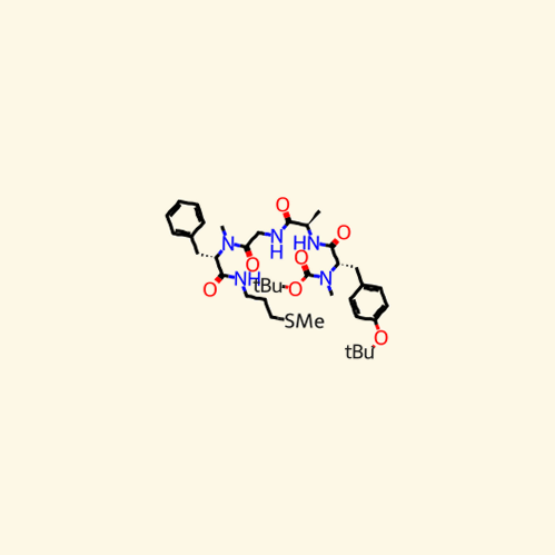 CSCCCNC(=O)[C@H](Cc1ccccc1)N(C)C(=O)CNC(=O)[C@@H](C)NC(=O)[C@H](Cc1ccc(OC(C)(C)C)cc1)N(C)C(=O)OC(C)(C)C